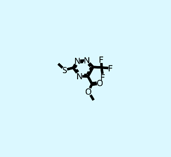 COC(=O)c1nc(SC)nnc1C(F)(F)F